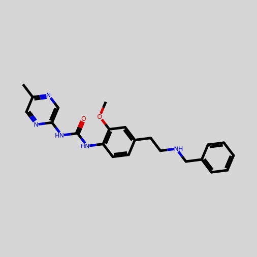 COc1cc(CCNCc2ccccc2)ccc1NC(=O)Nc1cnc(C)cn1